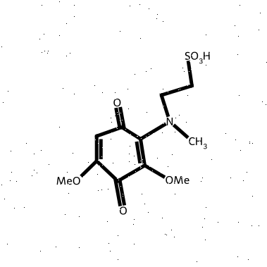 COC1=CC(=O)C(N(C)CCS(=O)(=O)O)=C(OC)C1=O